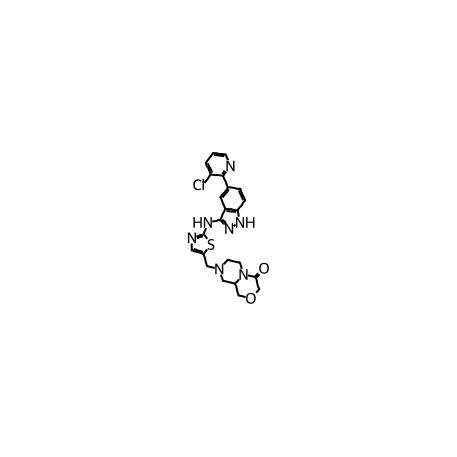 O=C1COCC2CN(Cc3cnc(Nc4n[nH]c5ccc(-c6ncccc6Cl)cc45)s3)CCN12